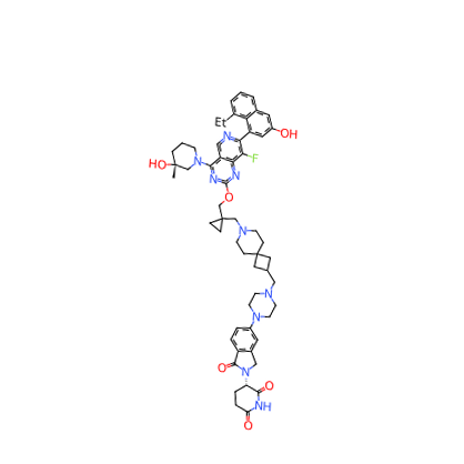 CCc1cccc2cc(O)cc(-c3ncc4c(N5CCC[C@@](C)(O)C5)nc(OCC5(CN6CCC7(CC6)CC(CN6CCN(c8ccc9c(c8)CN([C@H]8CCC(=O)NC8=O)C9=O)CC6)C7)CC5)nc4c3F)c12